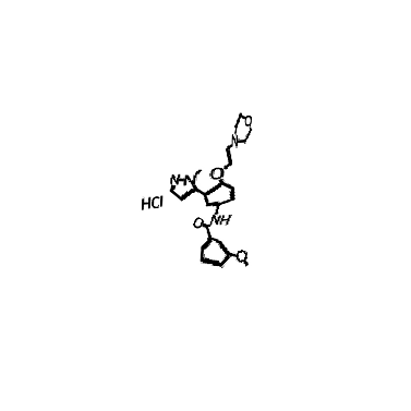 COc1cccc(C(=O)Nc2ccc(OCCN3CCOCC3)c(-c3ccnn3C)c2)c1.Cl